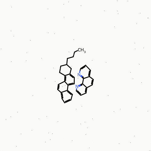 CCCCC1CCc2c(ccc3c2ccc2ccccc23)C1.c1cnc2c(c1)ccc1cccnc12